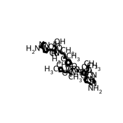 C[C@H](NP(=O)(OC[C@H]1O[C@@](C#N)(c2ccc3c(N)ncnn23)[C@@H]2OC(C)(C)O[C@@H]21)Oc1ccc(C(C)(C)CCC2(C)O[C@H]3[C@@H](O2)[C@](C#N)(c2ccc4c(N)ncnn24)O[C@@H]3CO)cc1)C(=O)OC1CC(C)(C)C1